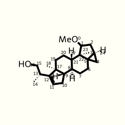 COC1C[C@H]2CC23CC[C@H]2[C@@H]4CC=C([C@H](C)CO)[C@@]4(C)CC[C@@H]2[C@@]13C